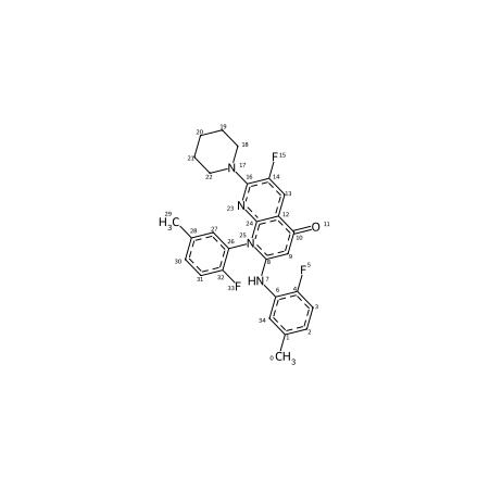 Cc1ccc(F)c(Nc2cc(=O)c3cc(F)c(N4CCCCC4)nc3n2-c2cc(C)ccc2F)c1